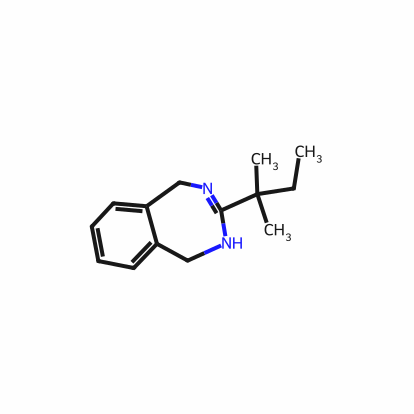 CCC(C)(C)C1=NCc2ccccc2CN1